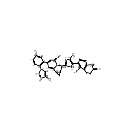 O=C1CCc2c(ccc(-c3[nH]c(C4C5CC5c5cc(-c6cc(Cl)ccc6-n6cc(Cl)nn6)cc(=O)n54)nc3Cl)c2F)N1